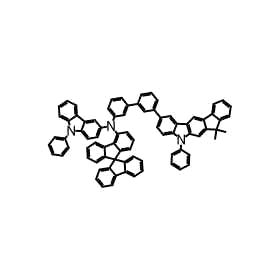 CC1(C)c2ccccc2-c2cc3c4cc(-c5cccc(-c6cccc(N(c7ccc8c(c7)c7ccccc7n8-c7ccccc7)c7cccc8c7-c7ccccc7C87c8ccccc8-c8ccccc87)c6)c5)ccc4n(-c4ccccc4)c3cc21